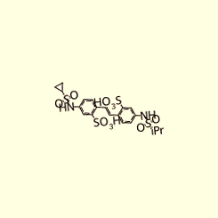 CC(C)S(=O)(=O)Nc1ccc(C=Cc2ccc(NS(=O)(=O)C3CC3)cc2S(=O)(=O)O)c(S(=O)(=O)O)c1